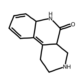 O=C1NC2C=CC=CC2=C2CCNCC12